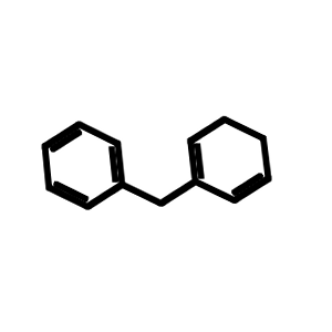 C1=CC(Cc2ccccc2)=CCC1